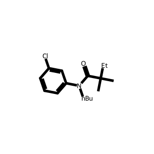 CCCCN(C(=O)C(C)(C)CC)c1cccc(Cl)c1